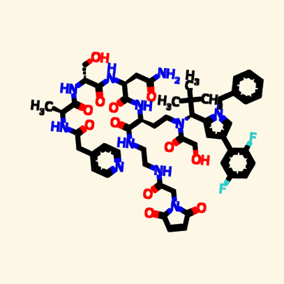 C[C@H](NC(=O)Cc1ccncc1)C(=O)N[C@H](CO)C(=O)N[C@@H](CC(N)=O)C(=O)N[C@@H](CCN(C(=O)CO)[C@@H](c1cc(-c2cc(F)ccc2F)cn1Cc1ccccc1)C(C)(C)C)C(=O)NCCNC(=O)CN1C(=O)C=CC1=O